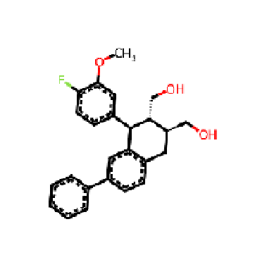 COc1cc(C2c3cc(-c4ccccc4)ccc3C[C@H](CO)[C@H]2CO)ccc1F